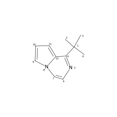 CC(C)(C)c1nccn2cccc12